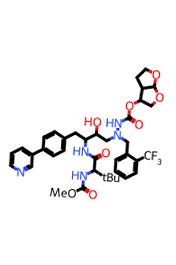 COC(=O)NC(C(=O)NC(Cc1ccc(-c2cccnc2)cc1)C(O)CN(Cc1ccccc1C(F)(F)F)NC(=O)OC1COC2OCCC12)C(C)(C)C